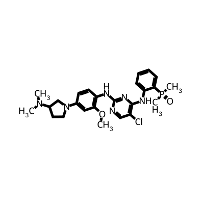 COc1cc(N2CCC(N(C)C)C2)ccc1Nc1ncc(Cl)c(Nc2ccccc2P(C)(C)=O)n1